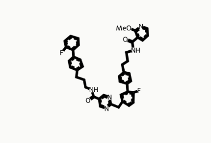 COc1ncccc1C(=O)NCCCc1ccc(-c2cc(Cc3ncc(C(=O)NCCCc4ccc(-c5ccccc5F)cc4)cn3)ccc2F)cc1